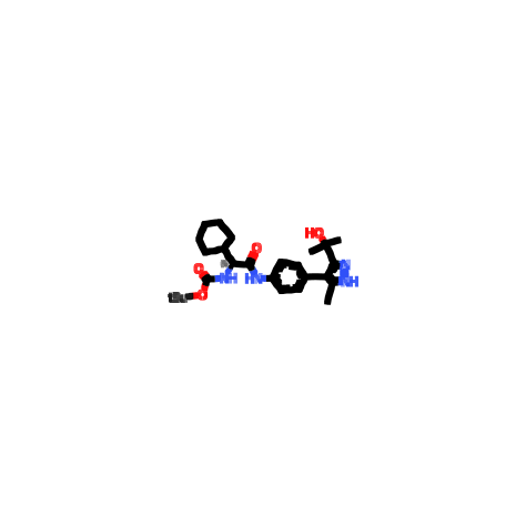 Cc1[nH]nc(C(C)(C)O)c1-c1ccc(NC(=O)[C@@H](NC(=O)OC(C)(C)C)C2CCCCC2)cc1